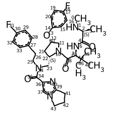 CN[C@@H](C)C(=O)N[C@H](C(=O)N1C[C@@H](Oc2ccc(F)cc2)C[C@H]1CN(CCc1ccc(F)cc1)C(=O)c1cn2c(n1)CCC2)C(C)(C)C